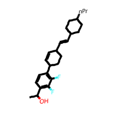 CCCC1CCC(/C=C/C2C=CC(c3ccc(C(C)O)c(F)c3F)CC2)CC1